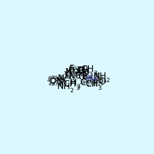 Cc1c(-c2cnc(C3(F)CC(C)(C4(C)OB(/C(=C/N=C(\N)C5(F)COC5)C(C)C)OC4(C)C)C3)nc2)nn(-c2ccccc2)c1N